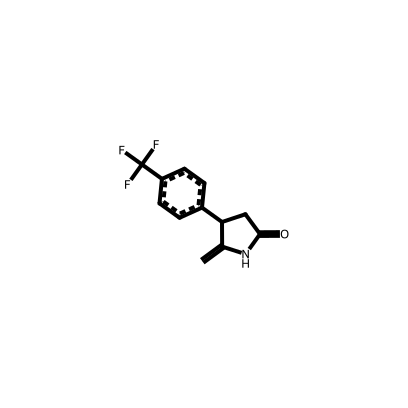 C=C1NC(=O)CC1c1ccc(C(F)(F)F)cc1